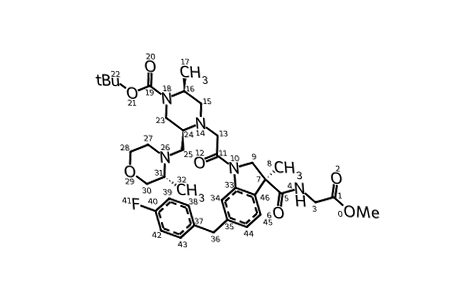 COC(=O)CNC(=O)[C@]1(C)CN(C(=O)CN2C[C@H](C)N(C(=O)OC(C)(C)C)C[C@@H]2CN2CCOC[C@H]2C)c2cc(Cc3ccc(F)cc3)ccc21